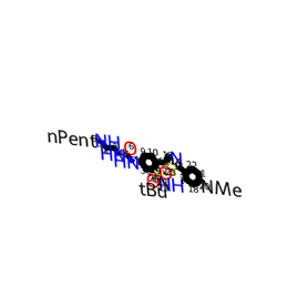 CCCCCNCCNC(=O)Nc1ccc(-c2cnc(-c3ccc(NC)cc3)s2)c(S(=O)(=O)NC(C)(C)C)c1